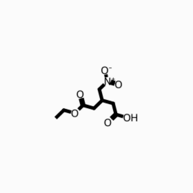 CCOC(=O)CC(CC(=O)O)C[N+](=O)[O-]